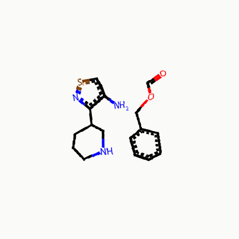 Nc1csnc1C1CCCNC1.O=COCc1ccccc1